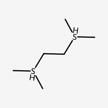 C[SH](C)CC[SH](C)C